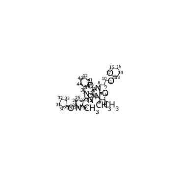 CCC(C)n1c(=O)n(CCCOC2CCCCO2)c(=O)c2c1nc(-c1ccc(OC3CCCC3)nc1C)n2Cc1ccccc1